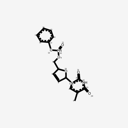 Cc1cn(C2C=CC(CO[PH](=O)Oc3ccccc3)O2)c(=O)[nH]c1=O